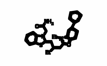 CCC(=Cc1oc2ccc(-c3ccccc3)cc2[n+]1CC)/C=C1\Sc2ccccc2N1CC(N)=O